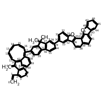 C=Cc1ccccc1C(=C)c1ccccccc(-c2ccc3c(c2)C(C)(C)c2cc(-c4ccc5oc6c(ccc7ccc8c9ccccc9oc8c76)c5c4)ccc2-3)c2ccccc12